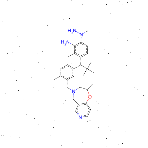 Cc1ccc(C(c2ccc(N(C)N)c(N)c2C)C(C)(C)C)cc1CN1Cc2cnccc2OC(C)C1